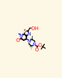 C[C@@H]1CN(c2cc(=O)n(C)c3sc(CO)nc23)[C@@H](C)CN1C(=O)OC(C)(C)C